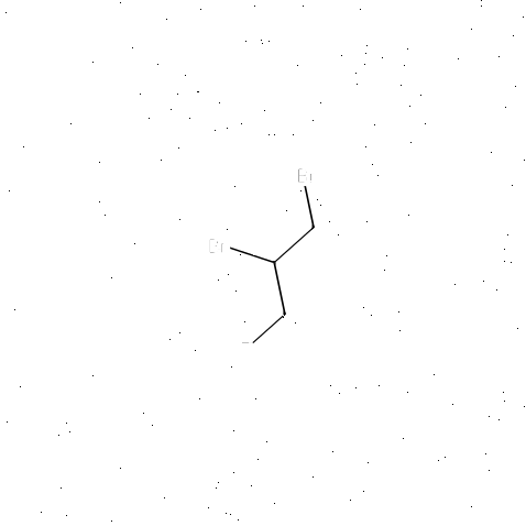 FCC(Br)CBr